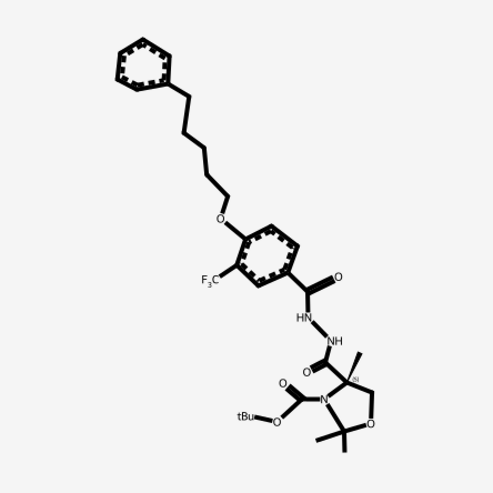 CC(C)(C)OC(=O)N1C(C)(C)OC[C@@]1(C)C(=O)NNC(=O)c1ccc(OCCCCCc2ccccc2)c(C(F)(F)F)c1